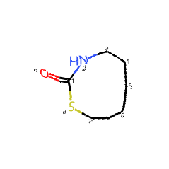 O=C1NCCCCCS1